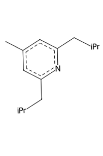 Cc1cc(CC(C)C)nc(CC(C)C)c1